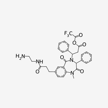 CN1C(=O)C(c2ccccc2)N(C(CC(=O)OC(=O)C(F)(F)F)c2ccccc2)C(=O)c2cc(CCC(=O)NCCN)ccc21